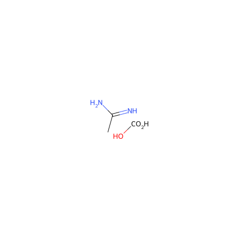 CC(=N)N.O=C(O)O